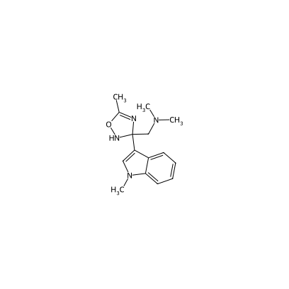 CC1=NC(CN(C)C)(c2cn(C)c3ccccc23)NO1